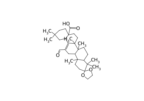 CC1(C)CCC2(C(=O)O)CCC3(C)C(=C(C=O)CC4C5(C)CCC6(OCCO6)C(C)(C)C5CCC43C)C2C1